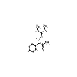 COC(COC(C(N)=O)c1ccccc1)OC